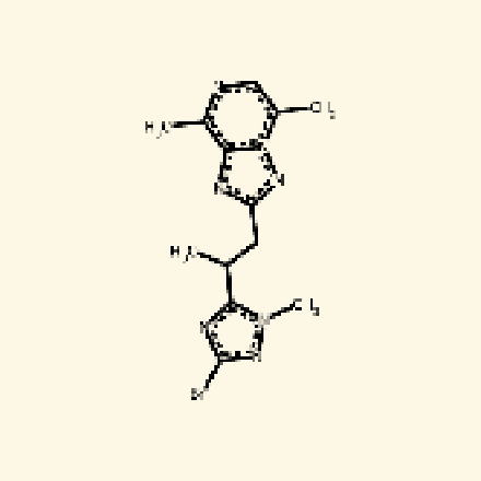 Cc1ncc(C)n2nc(CC(C)c3nc(Br)nn3C)nc12